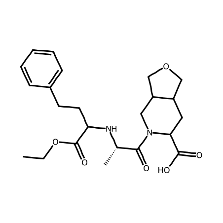 CCOC(=O)C(CCc1ccccc1)N[C@@H](C)C(=O)N1CC2COCC2CC1C(=O)O